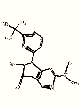 CC(C)n1c(=O)c2cnc([S+](C)[O-])nc2n1-c1cccc(C(C)(C)O)n1